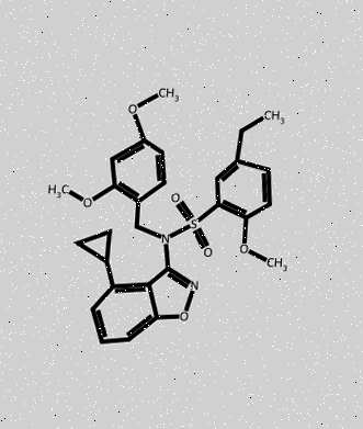 CCc1ccc(OC)c(S(=O)(=O)N(Cc2ccc(OC)cc2OC)c2noc3cccc(C4CC4)c23)c1